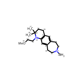 BN1CCc2cc3c(cc2CC1)N(CCOC)C(C)(C)CC3